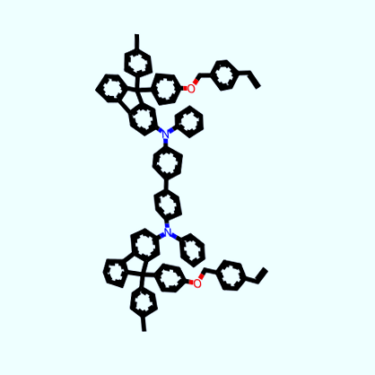 C=Cc1ccc(COc2ccc(C3(c4ccc(C)cc4)c4ccccc4-c4ccc(N(c5ccccc5)c5ccc(-c6ccc(N(c7ccccc7)c7ccc8c(c7)C(c7ccc(C)cc7)(c7ccc(OCc9ccc(C=C)cc9)cc7)c7ccccc7-8)cc6)cc5)cc43)cc2)cc1